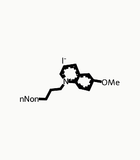 CCCCCCCCCCCC[n+]1cccc2cc(OC)ccc21.[I-]